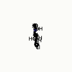 O[C@@H](NC[C@H]1C=CC(Cl)=CC1)Nc1ccc(C/C=C/[C@H](O)[C@@H]2CCCO2)cc1